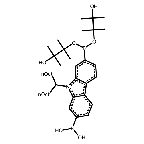 CCCCCCCCC(CCCCCCCC)n1c2cc(B(O)O)ccc2c2ccc(B(OC(C)(C)C(C)(C)O)OC(C)(C)C(C)(C)O)cc21